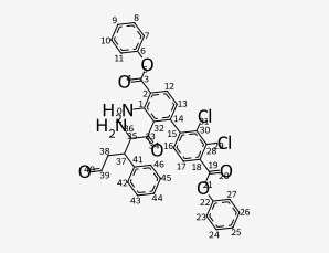 Nc1c(C(=O)Oc2ccccc2)ccc(-c2ccc(C(=O)Oc3ccccc3)c(Cl)c2Cl)c1C(=O)C(N)C(CC=O)c1ccccc1